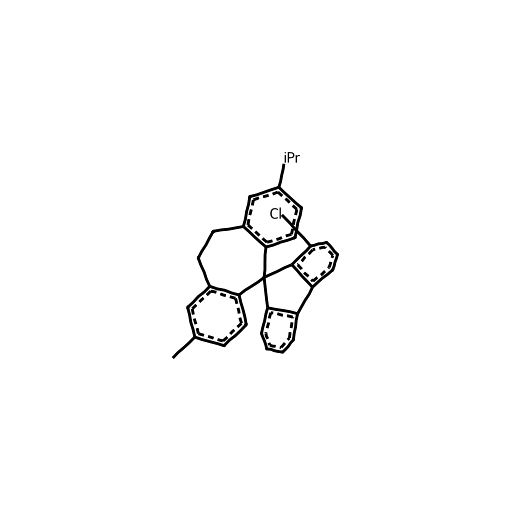 Cc1ccc2c(c1)CCc1cc(C(C)C)ccc1C21c2ccccc2-c2cccc(Cl)c21